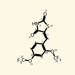 O=C1NC(=O)/C(=C\c2ccc(OC(F)(F)F)cc2OC(F)(F)F)S1